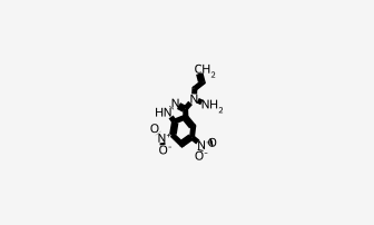 C=CCN(N)c1n[nH]c2c([N+](=O)[O-])cc([N+](=O)[O-])cc12